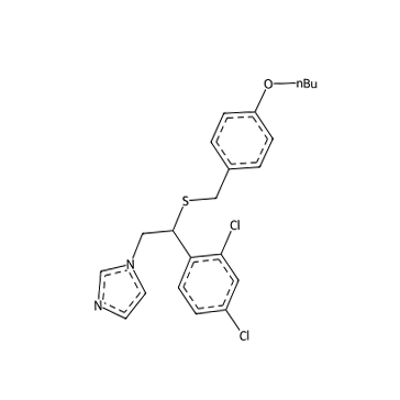 CCCCOc1ccc(CSC(Cn2ccnc2)c2ccc(Cl)cc2Cl)cc1